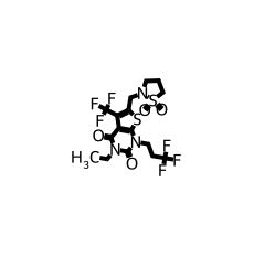 CCn1c(=O)c2c(C(F)(F)F)c(CN3CCCS3(=O)=O)sc2n(CCC(F)(F)F)c1=O